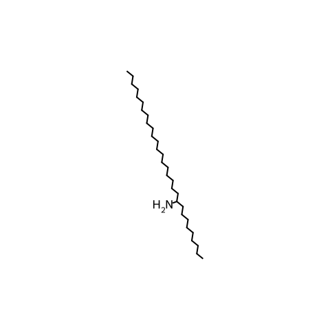 CCCCCCCCCCCCCCCCCCCCC(N)CCCCCCCCC